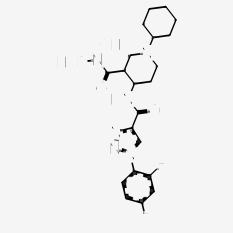 CN(C)C(=O)C1CN(C2CCCCC2)CCC1NC(=O)c1cn(-c2ccc(F)cc2F)nn1